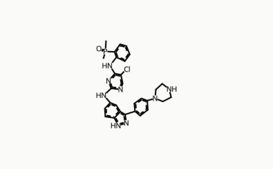 CP(C)(=O)c1ccccc1Nc1nc(Nc2ccc3[nH]nc(-c4ccc(N5CCNCC5)cc4)c3c2)ncc1Cl